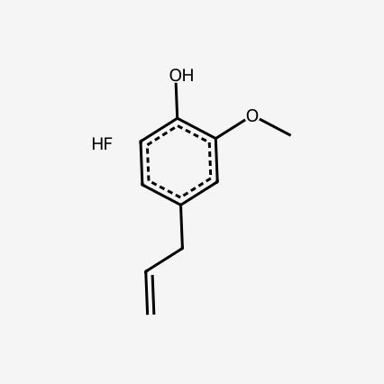 C=CCc1ccc(O)c(OC)c1.F